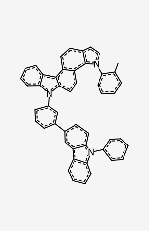 Cc1ccccc1-n1ccc2ccc3c(ccc4c3c3ccccc3n4-c3cccc(-c4ccc5c(c4)c4ccccc4n5-c4ccccc4)c3)c21